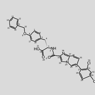 O=C(N[C@@H](Cc1ccc(OCc2ccccc2)cc1)C(=O)O)c1cn2cc(-c3ccc(Cl)cc3Cl)ccc2n1